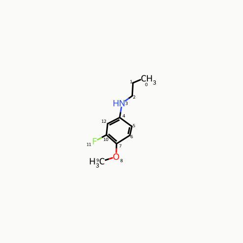 CCCNc1ccc(OC)c(F)c1